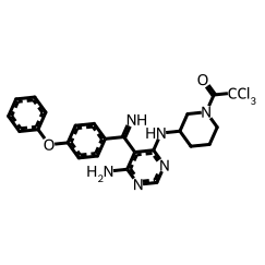 N=C(c1ccc(Oc2ccccc2)cc1)c1c(N)ncnc1NC1CCCN(C(=O)C(Cl)(Cl)Cl)C1